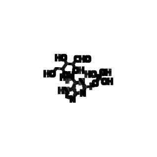 Nc1nc(F)nc2nc[nH]c12.O=CC(O)C(O)C(O)CO.O=P(O)(O)O